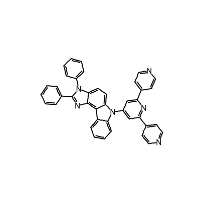 c1ccc(-c2nc3c4c5ccccc5n(-c5cc(-c6ccncc6)nc(-c6ccncc6)c5)c4ccc3n2-c2ccccc2)cc1